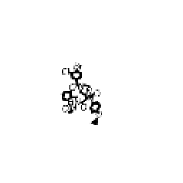 O=C(NCc1ccccc1-c1ncco1)c1c2n(c(=O)n1-c1ccc(OC3CC3)cc1)CCN(C(=O)c1ccc(Br)c(Cl)c1)C2